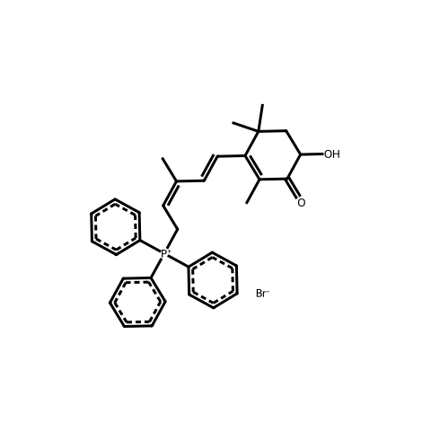 CC(=CC[P+](c1ccccc1)(c1ccccc1)c1ccccc1)/C=C/C1=C(C)C(=O)C(O)CC1(C)C.[Br-]